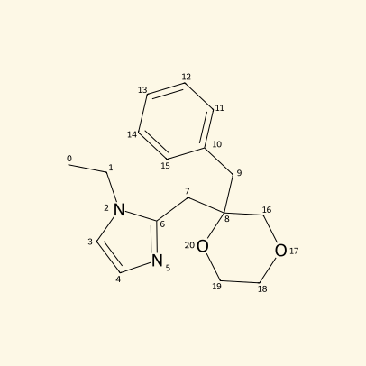 CCn1ccnc1CC1(Cc2ccccc2)COCCO1